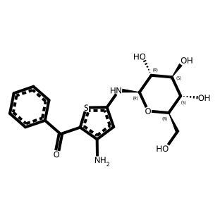 Nc1cc(N[C@@H]2O[C@H](CO)[C@@H](O)[C@H](O)[C@H]2O)sc1C(=O)c1ccccc1